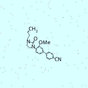 C=CCCN1CCN(c2ccc(-c3ccc(C#N)cc3)cc2OC)C1=O